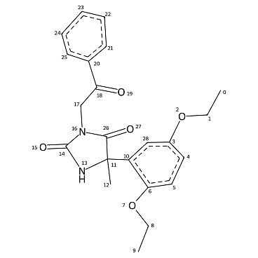 CCOc1ccc(OCC)c(C2(C)NC(=O)N(CC(=O)c3ccccc3)C2=O)c1